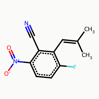 CC(C)=Cc1c(F)ccc([N+](=O)[O-])c1C#N